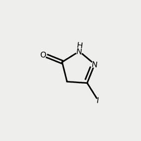 O=C1CC(I)=NN1